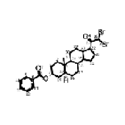 C[C@]12CC[C@@H](OC(=O)c3ccccc3)C[C@@H]1CCC1C3CC[C@H](C(=O)C(Br)Br)C3CCC12